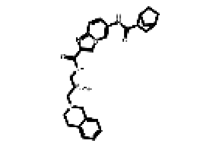 O=C(NC[C@H](O)CN1CCc2ccccc2C1)c1cn2cc(NC(=O)C3CC4CCC3C4)ccc2n1